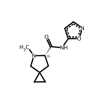 CN1CC2(CC2)C[C@H]1C(=O)Nc1ccno1